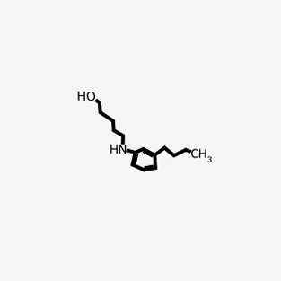 CCCCc1cccc(NCCCCCO)c1